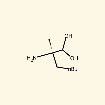 CCCCC[C@@](C)(N)C(O)O